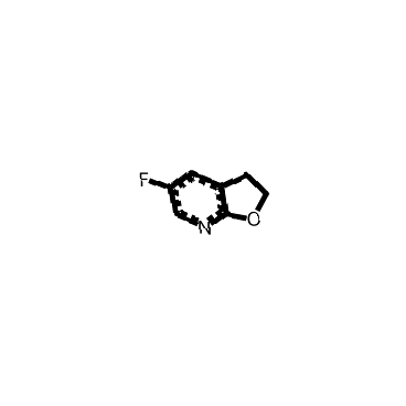 Fc1cnc2c(c1)CCO2